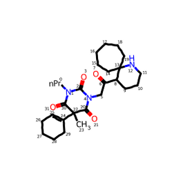 CCCN1C(=O)N(CC(=O)C2CCCNC23CCCCCC3)C(=O)C(C)(C2=CCCCC2)C1=O